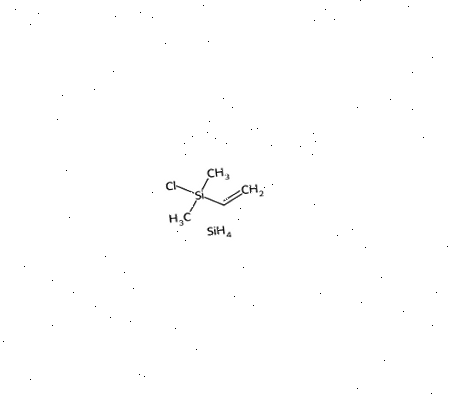 C=C[Si](C)(C)Cl.[SiH4]